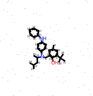 Cc1cc(CN(c2ccc(Nc3ccccc3)cc2)C(C)CC(C)C)c(O)c(C(C)(C)C)c1